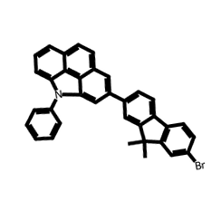 CC1(C)c2cc(Br)ccc2-c2ccc(-c3cc4ccc5cccc6c5c4c(c3)n6-c3ccccc3)cc21